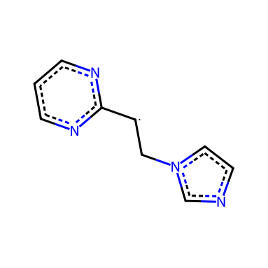 [CH](Cn1ccnc1)c1ncccn1